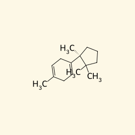 CC1=CCC([C@@]2(C)CCCC2(C)C)=CC1